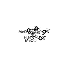 COC(=O)c1c(OCc2ccc3nc(C)oc3c2)nsc1N.COC(=O)c1c(OCc2ccc3nc(C)oc3c2)nsc1NCc1ccc(OC)cc1OC